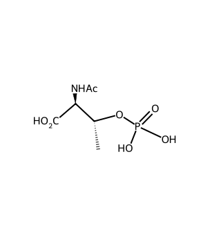 CC(=O)N[C@H](C(=O)O)[C@@H](C)OP(=O)(O)O